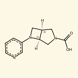 O=C(O)N1C[C@@H]2CN(c3cccnc3)[C@@H]2C1